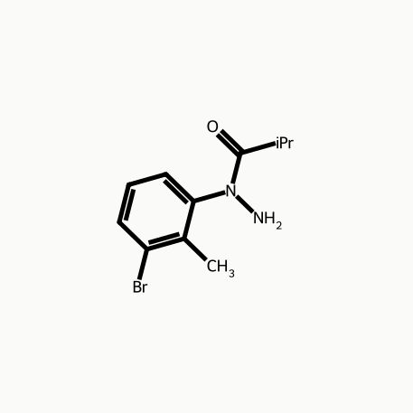 Cc1c(Br)cccc1N(N)C(=O)C(C)C